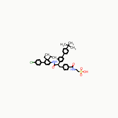 CCc1c(NC(=O)C(Cc2ccc(C(=O)NCCS(=O)(=O)O)cc2)c2ccc(-c3ccc(C(C)(C)C)cc3)cc2)ccc(-c2ccc(Cl)cc2)c1CC